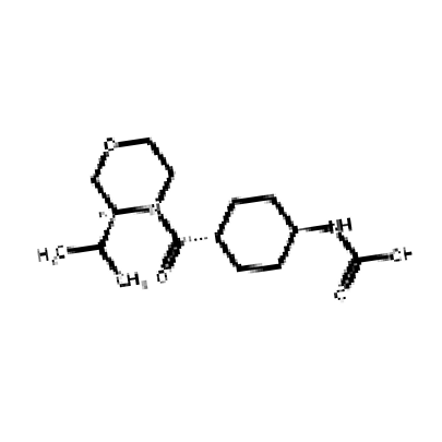 CC(C)[C@H]1COCCN1C(=O)[C@H]1CC[C@H](NC(=O)O)CC1